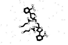 O=C(NC1(COCC2(NC(=O)OCCCl)CC(c3ccccc3[N+](=O)[O-])CO2)CC(c2ccccc2[N+](=O)[O-])CO1)OCCCl